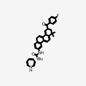 C1=CC=CNC=C1.CC(C)(C)C(=O)Nc1ccc2c(c1)-c1ccc3c(c1=CC2)=CC(C(=O)c1ccc(F)cc1)CC3(C)C